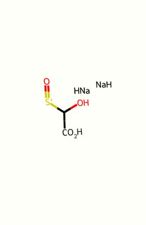 O=[S+]C(O)C(=O)O.[NaH].[NaH]